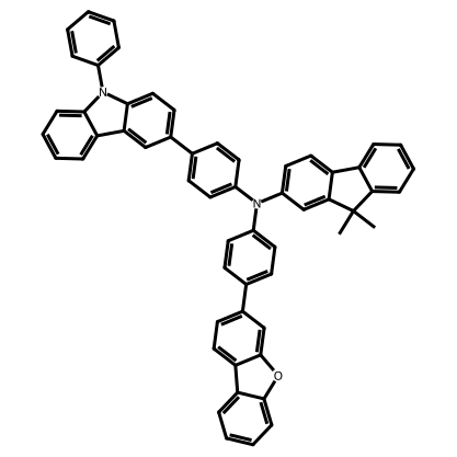 CC1(C)c2ccccc2-c2ccc(N(c3ccc(-c4ccc5c(c4)oc4ccccc45)cc3)c3ccc(-c4ccc5c(c4)c4ccccc4n5-c4ccccc4)cc3)cc21